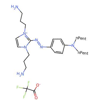 CCCCCN(CCCCC)c1ccc(N=Nc2n(CCCN)cc[n+]2CCCN)cc1.O=C([O-])C(F)(F)F